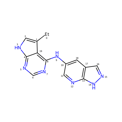 CCc1c[nH]c2ncnc(Nc3cnc4[nH]ncc4c3)c12